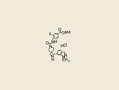 COC(=O)c1ccc(CNC(=O)N2CCC3(CC2)CNC3c2ccc3cnn(C)c3c2)c(F)c1.Cl